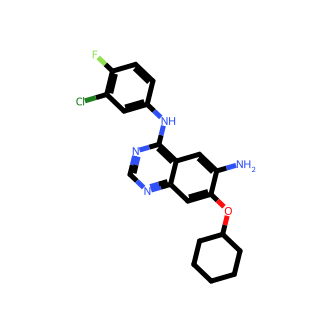 Nc1cc2c(Nc3ccc(F)c(Cl)c3)ncnc2cc1OC1CCCCC1